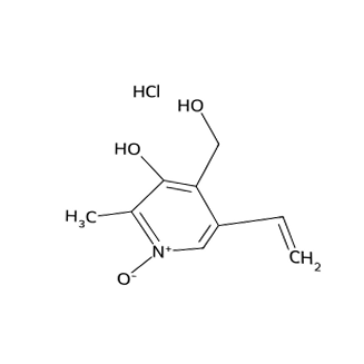 C=Cc1c[n+]([O-])c(C)c(O)c1CO.Cl